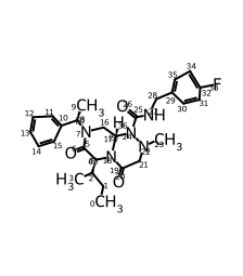 CCC(C)[C@H]1C(=O)N([C@H](C)c2ccccc2)C[C@H]2N1C(=O)CN(C)N2C(=O)NCc1ccc(F)cc1